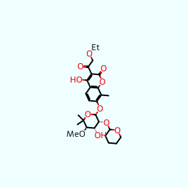 CCOCC(=O)c1c(O)c2ccc(O[C@@H]3OC(C)(C)[C@H](OC)[C@@H](O)[C@H]3OC3CCCCO3)c(C)c2oc1=O